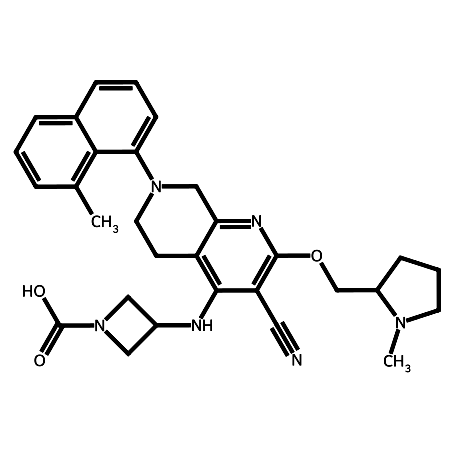 Cc1cccc2cccc(N3CCc4c(nc(OCC5CCCN5C)c(C#N)c4NC4CN(C(=O)O)C4)C3)c12